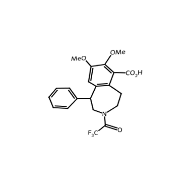 COc1cc2c(c(C(=O)O)c1OC)CCN(C(=O)C(F)(F)F)CC2c1ccccc1